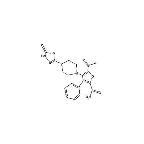 NC(=O)c1oc([N+](=O)[O-])c(N2CCC(c3n[nH]c(=O)o3)CC2)c1-c1ccccc1